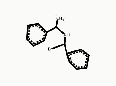 CC(NC(Br)c1ccccc1)c1ccccc1